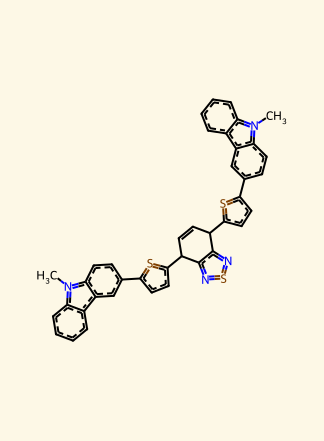 Cn1c2ccccc2c2cc(-c3ccc(C4C=CC(c5ccc(-c6ccc7c(c6)c6ccccc6n7C)s5)c5nsnc54)s3)ccc21